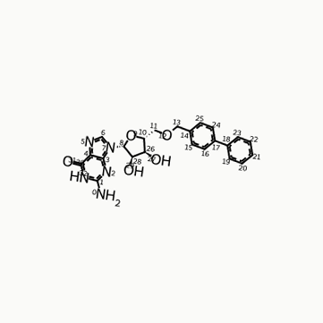 Nc1nc2c(ncn2[C@@H]2O[C@H](COCc3ccc(-c4ccccc4)cc3)[C@@H](O)[C@H]2O)c(=O)[nH]1